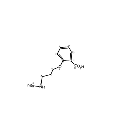 CCCCNCCCOc1ccccc1C(=O)O